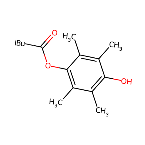 CCC(C)C(=O)Oc1c(C)c(C)c(O)c(C)c1C